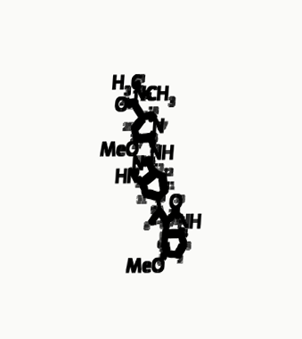 COc1ccc2c(c1)[C@]1(C[C@H]1c1ccc3c(Nc4ncc(C(=O)N(C)C)cc4OC)n[nH]c3c1)C(=O)N2